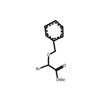 COC(=O)C(OCc1ccccc1)C(C)=O